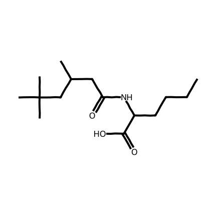 CCCCC(NC(=O)CC(C)CC(C)(C)C)C(=O)O